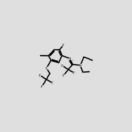 CCN(CC)/C(=N/c1cc(SCC(F)(F)F)c(C)cc1F)C(F)(F)F